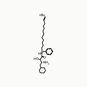 CCCCC=CCCCCCCCCCCN(NC(=O)C(O)[C@H](N)CC1CCCCC1)c1ccccc1